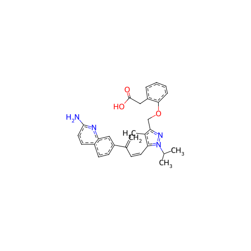 C=C(/C=C\c1c(C)c(COc2ccccc2CC(=O)O)nn1C(C)C)c1ccc2ccc(N)nc2c1